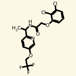 CC(NC(=O)COc1cccc(Cl)c1Cl)c1ccc(OCC(F)(F)F)cn1